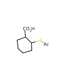 CC(=O)SC1CCCCC1C(=O)O